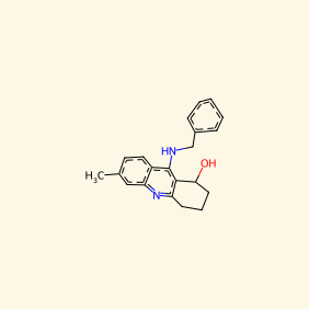 Cc1ccc2c(NCc3ccccc3)c3c(nc2c1)CCCC3O